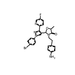 CC1OC(c2cn(-c3ccc(Br)cc3)nc2-c2ccc(F)cn2)N(CCc2ccc(N)cc2)C1=O